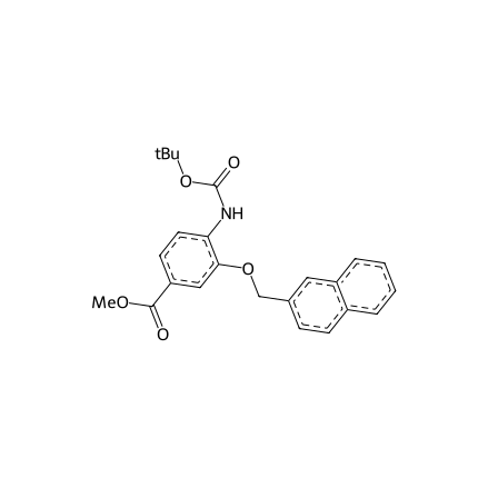 COC(=O)c1ccc(NC(=O)OC(C)(C)C)c(OCc2ccc3ccccc3c2)c1